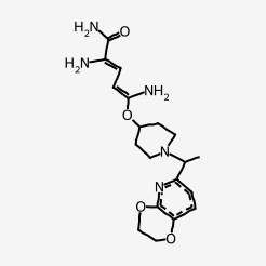 CC(c1ccc2c(n1)OCCO2)N1CCC(O/C(N)=C/C=C(\N)C(N)=O)CC1